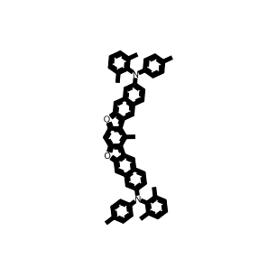 Cc1ccc(N(c2ccc3cc4c(cc3c2)oc2cc3oc5cc6cc(N(c7ccc(C)cc7)c7c(C)cccc7C)ccc6cc5c3c(C)c24)c2c(C)cccc2C)cc1